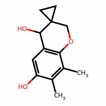 Cc1c(O)cc2c(c1C)OCC1(CC1)C2O